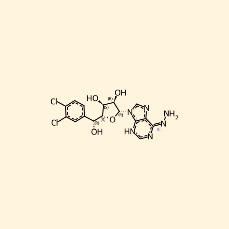 N/N=c1/nc[nH]c2c1ncn2[C@@H]1O[C@H]([C@H](O)c2ccc(Cl)c(Cl)c2)[C@@H](O)[C@H]1O